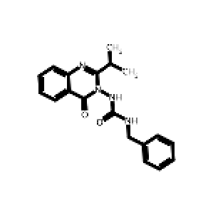 CC(C)c1nc2ccccc2c(=O)n1NC(=O)NCc1ccccc1